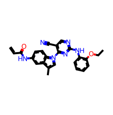 C=CC(=O)Nc1ccc2c(c1)c(C)cn2-c1nc(Nc2ccccc2OCC)ncc1C#N